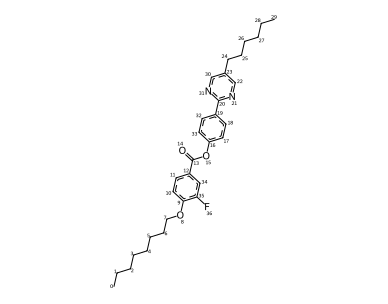 CCCCCCCCOc1ccc(C(=O)Oc2ccc(-c3ncc(CCCCCC)cn3)cc2)cc1F